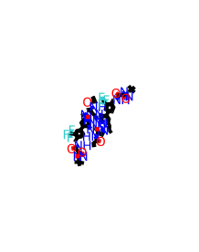 C=CC(=O)Nc1cn(C)nc1-c1nc2c(-c3ccc(CNC(=O)c4nc(C(C)(C)C)no4)c(C(F)(F)F)c3)cc(CC(C)n3cc(NC(=O)C=C)c(-c4nc5c(-c6ccc(CNC(=O)c7nc(C(C)(C)C)no7)c(C(F)(F)F)c6)ccnc5[nH]4)n3)nc2[nH]1